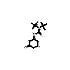 CC(C)(C)N(C(=O)OC1CCCC(=O)C1)C(C)(C)C